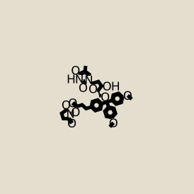 COc1ccc(C(OC[C@H]2O[C@@H](n3cc(C)c(=O)[nH]c3=O)C[C@H]2O)(c2ccc(CCC(=O)ON3C(=O)CCC3=O)cc2)c2ccc(OC)cc2)cc1